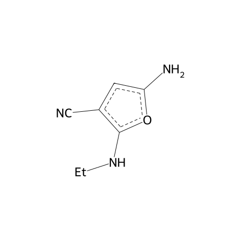 CCNc1oc(N)cc1C#N